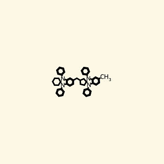 Cc1ccc2c(c1)N(c1ccccc1)C1(CCC(Cc3ccc4c(c3)N(c3ccccc3)C3(CCCCC3)N4c3ccccc3)C1)N2c1ccccc1